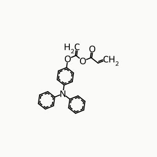 C=CC(=O)OC(=C)Oc1ccc(N(c2ccccc2)c2ccccc2)cc1